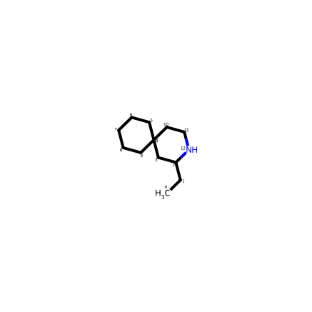 CCC1CC2(CCCCC2)CCN1